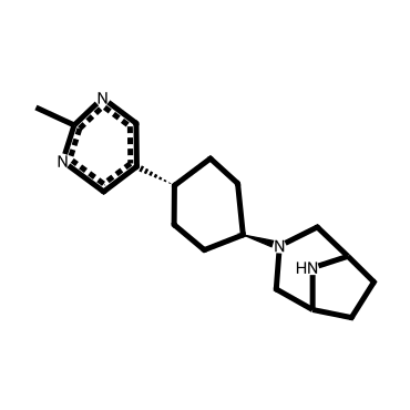 Cc1ncc([C@H]2CC[C@H](N3CC4CCC(C3)N4)CC2)cn1